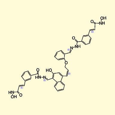 O=C(/C=C/c1cccc(C(=O)N/N=C/c2ccccc2OC/C=C\c2cc(O)c(/C=N/NC(=O)c3cccc(/C=C/C(=O)NO)c3)c3ccccc23)c1)NO